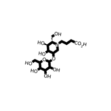 O=C(O)CCCN1CC(OC2OC(CO)C(O)C(O)C2O)C(O)[C@@H](O)[C@@H]1CO